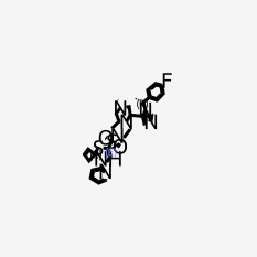 C/C=C(\S[C@@]1(Nc2ccccn2)C=CC1)S(=O)(=O)N1CCN2C(CN(C)CC2c2cncn2[C@H](C)c2ccc(F)cc2)C1